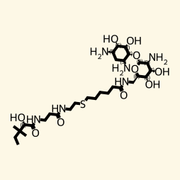 CCC(C)(C)[C@@H](O)C(=O)NCCC(=O)NCCSCCCCCC(=O)NC[C@H]1O[C@H](O[C@H]2[C@H](O)[C@@H](O)[C@H](N)C[C@@H]2N)[C@H](N)[C@@H](O)[C@@H]1O